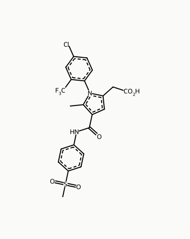 Cc1c(C(=O)Nc2ccc(S(C)(=O)=O)cc2)cc(CC(=O)O)n1-c1ccc(Cl)cc1C(F)(F)F